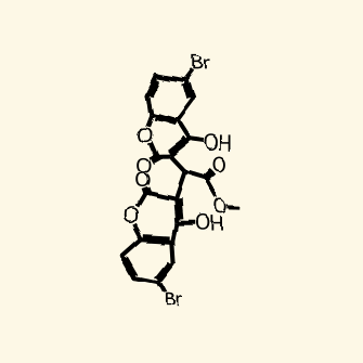 COC(=O)C(c1c(O)c2cc(Br)ccc2oc1=O)c1c(O)c2cc(Br)ccc2oc1=O